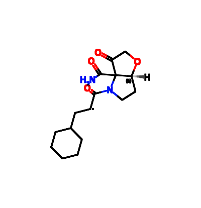 NC(=O)C12C(=O)CO[C@H]1CCN2C(=O)[CH]CC1CCCCC1